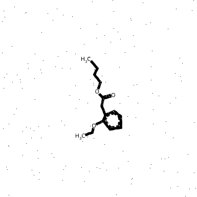 CCCCOC(=O)Cc1ccccc1OCC